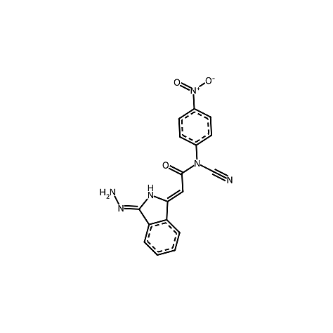 N#CN(C(=O)C=C1NC(=NN)c2ccccc21)c1ccc([N+](=O)[O-])cc1